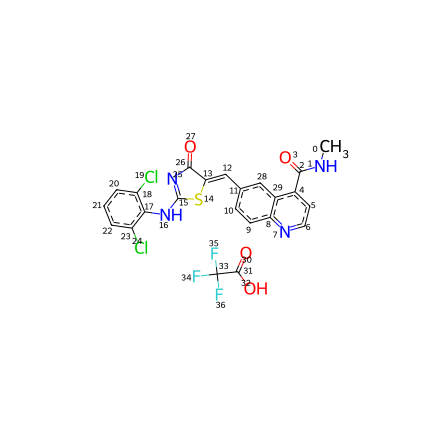 CNC(=O)c1ccnc2ccc(/C=C3\SC(Nc4c(Cl)cccc4Cl)=NC3=O)cc12.O=C(O)C(F)(F)F